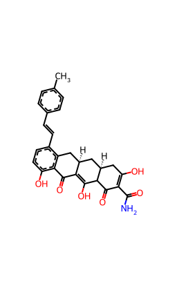 Cc1ccc(/C=C/c2ccc(O)c3c2C[C@H]2C[C@H]4CC(O)=C(C(N)=O)C(=O)C4C(O)=C2C3=O)cc1